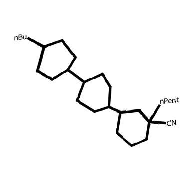 CCCCCC1(C#N)CCCC(C2CCC(C3CCC(CCCC)CC3)CC2)C1